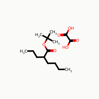 CCCCC(CCC)C(=O)OC(C)(C)C.O=C(O)C(=O)O